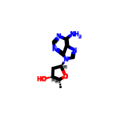 C[C@H]1O[C@@H](n2cnc3c(N)ncnc32)C[C@H]1O